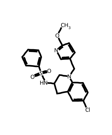 COc1ccc(CN2CC(NS(=O)(=O)c3ccccc3)Cc3cc(Cl)ccc32)cn1